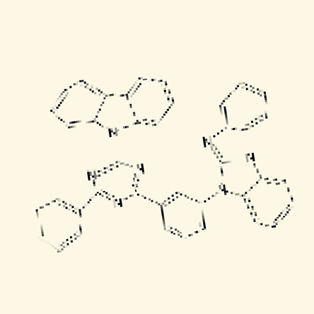 c1ccc(-c2nc(-c3cccc(-n4c5ccccc5n5c6ccccc6nc45)c3)nc(-n3c4ccccc4c4ccccc43)n2)cc1